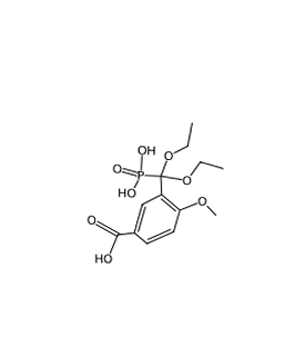 CCOC(OCC)(c1cc(C(=O)O)ccc1OC)P(=O)(O)O